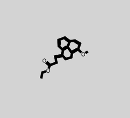 CCOC(=O)CC=C1CCc2c(OC)ccc3cccc1c23